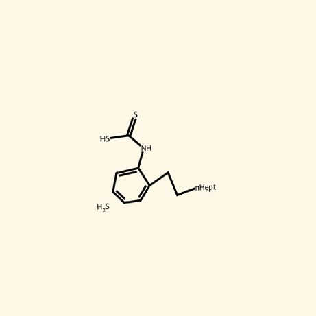 CCCCCCCCCc1ccccc1NC(=S)S.S